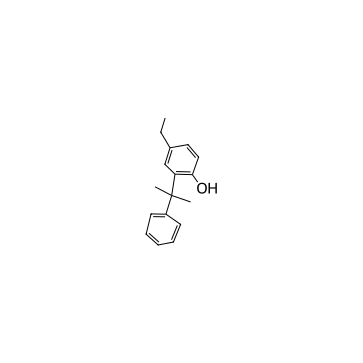 CCc1ccc(O)c(C(C)(C)c2ccccc2)c1